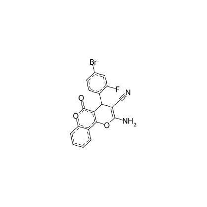 N#CC1=C(N)Oc2c(c(=O)oc3ccccc23)C1c1ccc(Br)cc1F